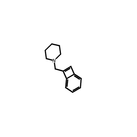 C1=C(CN2CCCCC2)c2ccccc21